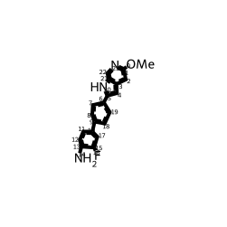 COc1cc2cc(-c3ccc(-c4ccc(N)c(F)c4)cc3)[nH]c2cn1